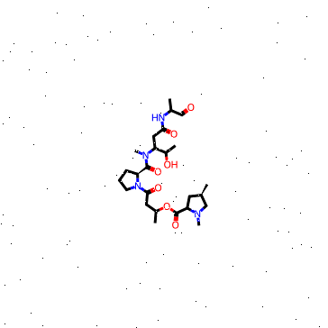 CC(C=O)NC(=O)CC(C(C)O)N(C)C(=O)[C@@H]1CCCN1C(=O)CC(C)OC(=O)C1C[C@@H](C)CN1C